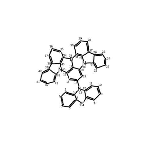 c1ccc2c(c1)Sc1ccccc1N2c1cc2c3c(c1)-n1c4ccccc4c4cccc(c41)B3c1cccc3c4ccccc4n-2c13